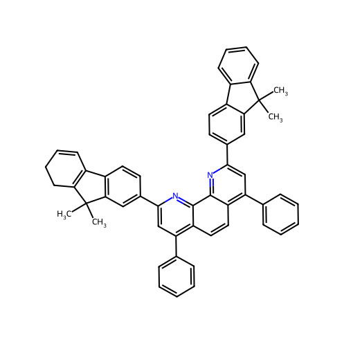 CC1(C)C2=C(C=CCC2)c2ccc(-c3cc(-c4ccccc4)c4ccc5c(-c6ccccc6)cc(-c6ccc7c(c6)C(C)(C)c6ccccc6-7)nc5c4n3)cc21